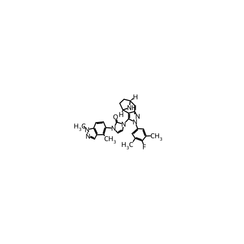 Cc1cc(-n2nc3c(c2-n2ccn(-c4ccc5c(cnn5C)c4C)c2=O)[C@@H]2CC[C@H](C3)N2)cc(C)c1F